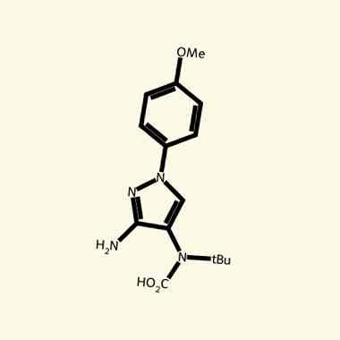 COc1ccc(-n2cc(N(C(=O)O)C(C)(C)C)c(N)n2)cc1